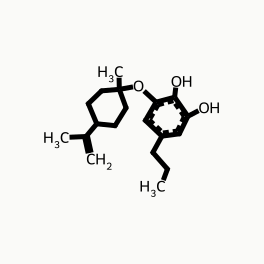 C=C(C)C1CCC(C)(Oc2cc(CCC)cc(O)c2O)CC1